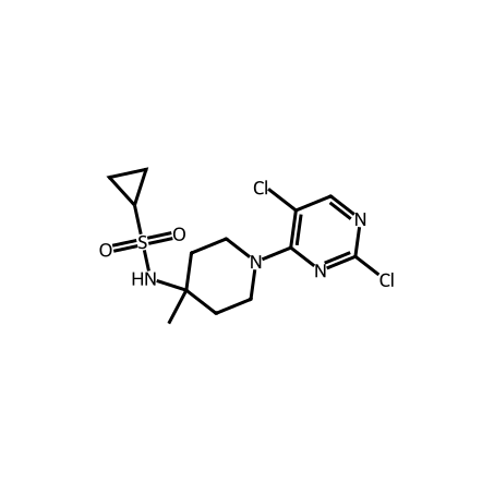 CC1(NS(=O)(=O)C2CC2)CCN(c2nc(Cl)ncc2Cl)CC1